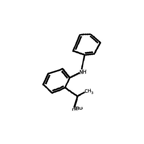 CCCCC(C)c1ccccc1Nc1ccccc1